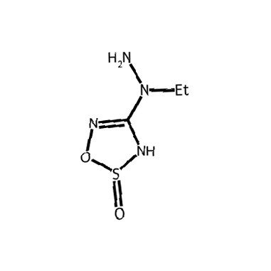 CCN(N)C1=NOS(=O)N1